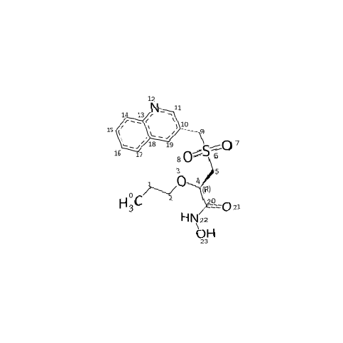 CCCO[C@@H](CS(=O)(=O)Cc1cnc2ccccc2c1)C(=O)NO